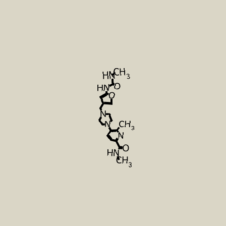 CNC(=O)Nc1cc(CN2CCN(c3ccc(C(=O)NC)nc3C)CC2)co1